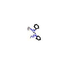 CC(C)N(CCNc1ccccc1)Cc1ccccc1